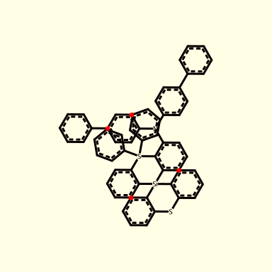 c1ccc(-c2ccc(N(c3ccc(-c4ccccc4)cc3)c3cccc4c3S(c3ccccc3)(c3ccccc3)c3ccccc3[Si]43c4ccccc4Sc4ccccc43)cc2)cc1